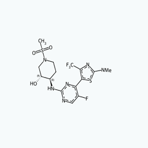 CNc1nc(C(F)(F)F)c(-c2nc(N[C@@H]3CCN(S(C)(=O)=O)C[C@H]3O)ncc2F)s1